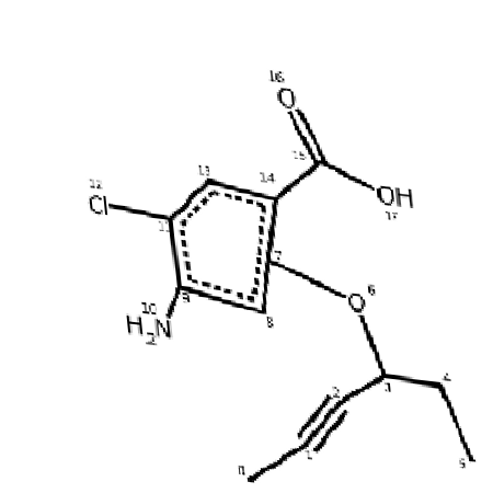 CC#CC(CC)Oc1cc(N)c(Cl)cc1C(=O)O